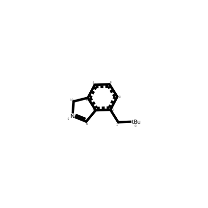 CC(C)(C)Cc1cccc2c1C=NC2